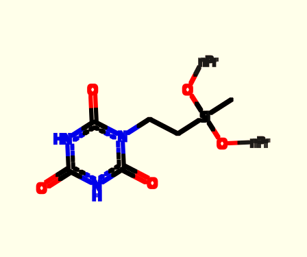 CCCO[Si](C)(CCn1c(=O)[nH]c(=O)[nH]c1=O)OCCC